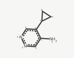 Nc1cnncc1C1CC1